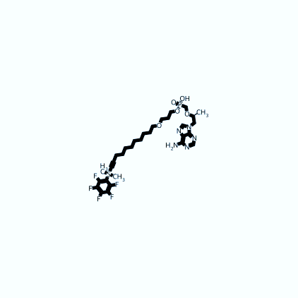 C[C@H](Cn1cnc2c(N)ncnc21)OCP(=O)(O)OCCCOCCCCCCCCCC#CS(C)(C)c1c(F)c(F)c(F)c(F)c1F